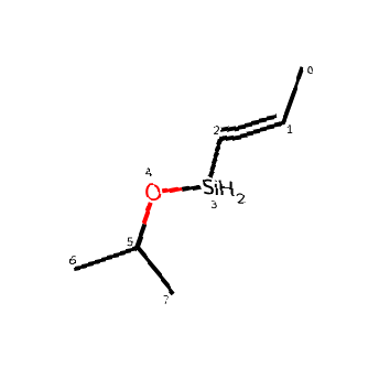 CC=C[SiH2]OC(C)C